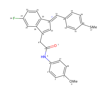 COc1ccc(NC(=O)CC2=C/C(=C\c3ccc(SC)cc3)c3ccc(F)cc32)cc1